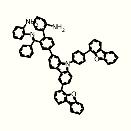 Nc1ccccc1N=C(c1ccccc1)c1cc(-c2ccc3c4cc(-c5cccc6c5oc5ccccc56)ccc4n(-c4ccc(-c5cccc6c5oc5ccccc56)cc4)c3c2)ccc1-c1ccccc1N